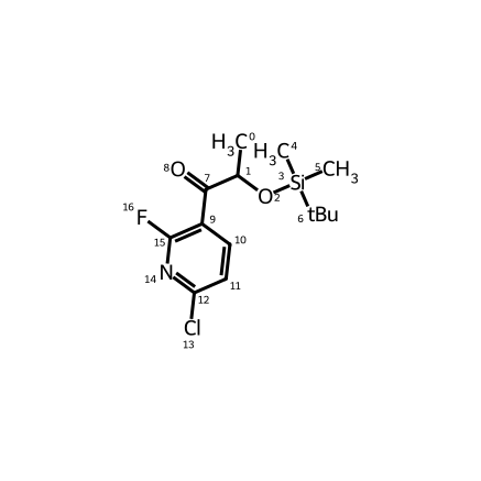 CC(O[Si](C)(C)C(C)(C)C)C(=O)c1ccc(Cl)nc1F